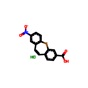 Cl.O=C(O)c1ccc2c(c1)Sc1ccc([N+](=O)[O-])cc1C=C2